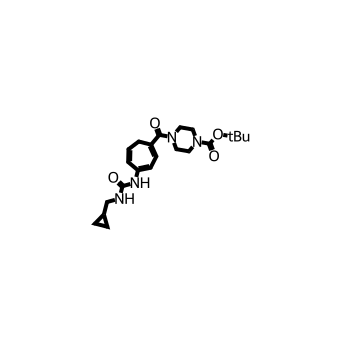 CC(C)(C)OC(=O)N1CCN(C(=O)C2=CC=C(NC(=O)NCC3CC3)C=CC2)CC1